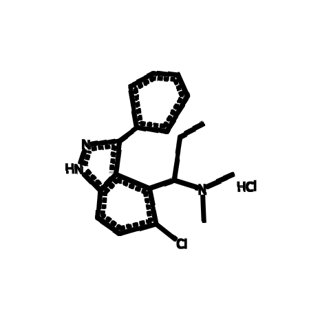 CCC(c1c(Cl)ccc2[nH]nc(-c3ccccc3)c12)N(C)C.Cl